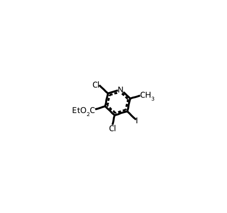 CCOC(=O)c1c(Cl)nc(C)c(I)c1Cl